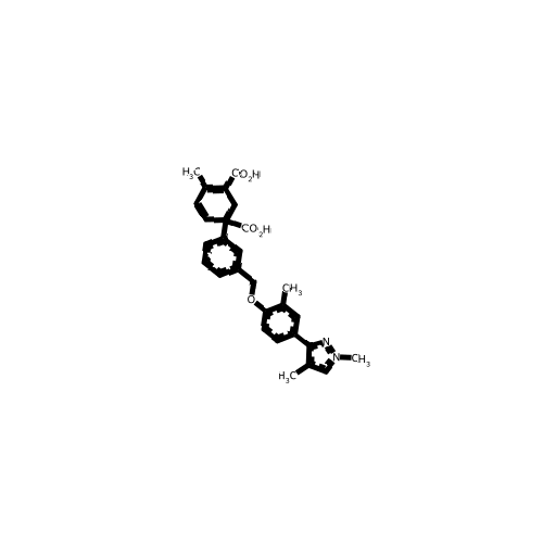 CC1=C(C(=O)O)CC(C(=O)O)(c2cccc(COc3ccc(-c4nn(C)cc4C)cc3C)c2)C=C1